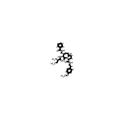 CC[C@H](N)C(=O)N[C@@H]1C(=O)N2[C@@H](CC[C@@H]1CNC(=O)c1ccccc1)CC[C@H]2C(=O)NCCc1ccc(OC)cc1